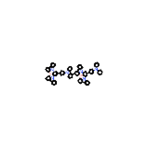 c1ccc(N(c2ccccc2)c2ccc(-c3cc4c5c(c3)-n3c6ccccc6c6cc(-c7cccc8c7c7ccccc7n8-c7ccc(-c8cc9c%10c(c8)-n8c%11ccccc%11c%11cccc(c%118)B%10c8cccc%10c%11ccccc%11n-9c8%10)cc7)cc(c63)B5c3cccc5c6ccccc6n-4c35)cc2)cc1